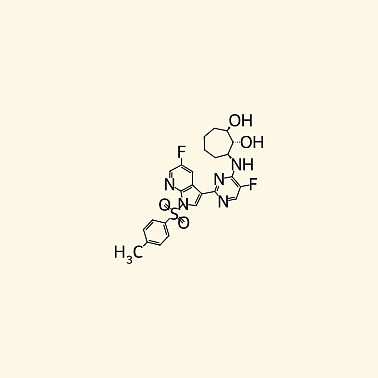 Cc1ccc(S(=O)(=O)n2cc(-c3ncc(F)c(N[C@H]4CCCC[C@@H](O)[C@@H]4O)n3)c3cc(F)cnc32)cc1